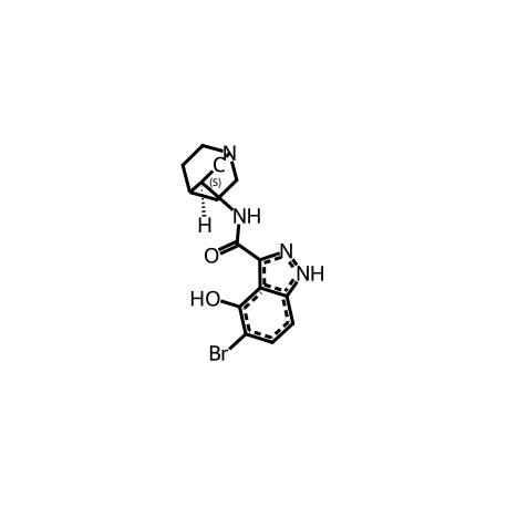 O=C(N[C@@H]1CN2CCC1CC2)c1n[nH]c2ccc(Br)c(O)c12